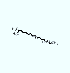 CCONCCCOCCCCCCCC(C)C